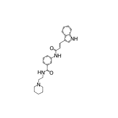 O=C(C=Cc1c[nH]c2ccccc12)Nc1cccc(C(=O)NCCN2CCCCC2)c1